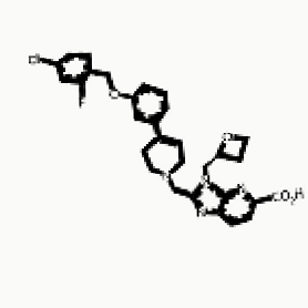 O=C(O)c1ccc2nc(CN3CC=C(c4cccc(OCc5ccc(Cl)cc5F)c4)CC3)n(C[C@@H]3CCO3)c2n1